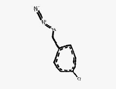 [N-]=[N+]=NCc1ccc(Cl)cc1